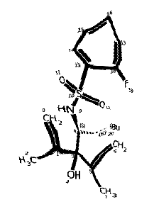 C=C(C)C(O)(C(=C)C)[C@@H](NS(=O)(=O)c1ccccc1F)[C@@H](C)CC